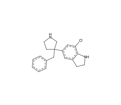 Clc1cc(C2(Cc3ccccc3)CCNC2)cc2c1NCC2